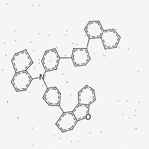 c1cc(-c2cccc(N(c3ccc(-c4cccc5oc6ccccc6c45)cc3)c3cccc4ccccc34)c2)cc(-c2cccc3ccccc23)c1